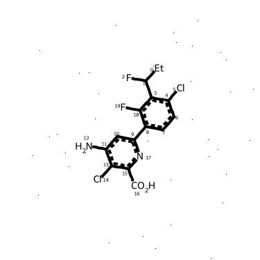 CCC(F)c1c(Cl)ccc(-c2cc(N)c(Cl)c(C(=O)O)n2)c1F